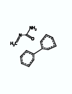 C=NC(N)=O.c1ccc(-c2ccccc2)cc1